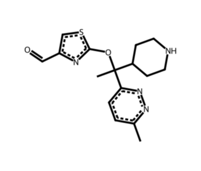 Cc1ccc(C(C)(Oc2nc(C=O)cs2)C2CCNCC2)nn1